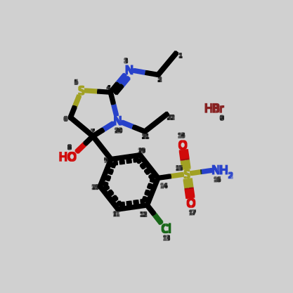 Br.CCN=C1SCC(O)(c2ccc(Cl)c(S(N)(=O)=O)c2)N1CC